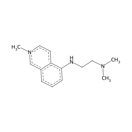 CN(C)CCNc1cccc2c[n+](C)ccc12